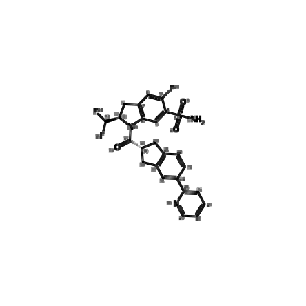 NS(=O)(=O)c1cc2c(cc1F)C[C@H](C(F)F)N2C(=O)[C@@H]1Cc2ccc(-c3ccccn3)cc2C1